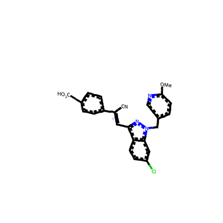 COc1ccc(Cn2nc(/C=C(\C#N)c3ccc(C(=O)O)cc3)c3ccc(Cl)cc32)cn1